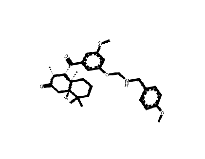 COc1ccc(CNCOc2cc(OC)cc(C(=O)[C@H]3[C@@H](C)C(=O)C[C@H]4C(C)(C)CCC[C@]34C)c2)cc1